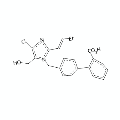 CCC=Cc1nc(Cl)c(CO)n1Cc1ccc(-c2ccccc2C(=O)O)cc1